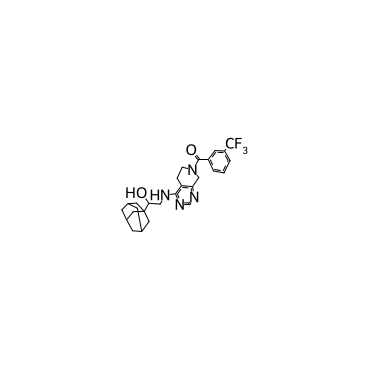 O=C(c1cccc(C(F)(F)F)c1)N1CCc2c(ncnc2NCC(O)C23CC4CC(CC(C4)C2)C3)C1